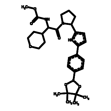 COC(=O)NC(C(=O)N1CCCC1c1ccc(-c2ccc(B3OC(C)(C)C(C)(C)O3)cc2)[nH]1)C1CCOCC1